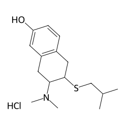 CC(C)CSC1Cc2ccc(O)cc2CC1N(C)C.Cl